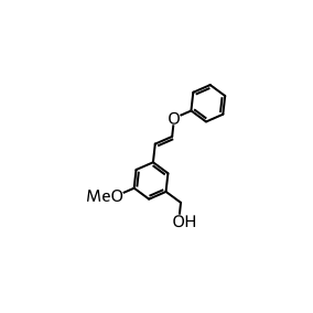 COc1cc(/C=C/Oc2ccccc2)cc(CO)c1